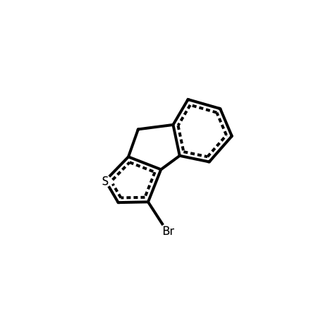 Brc1csc2c1-c1ccccc1C2